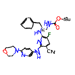 CC(C)(C)OC(=O)NC[C@@H](Cc1ccccc1)Nc1nc(Nc2ccc(N3CCOCC3)nc2)c(C#N)cc1F